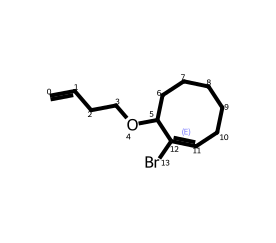 C=CCCOC1CCCCC/C=C\1Br